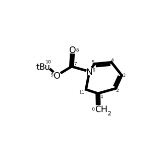 C=C1C=CC=CN(C(=O)OC(C)(C)C)C1